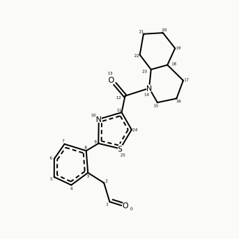 O=CCc1ccccc1-c1nc(C(=O)N2CCCC3CCCCC32)cs1